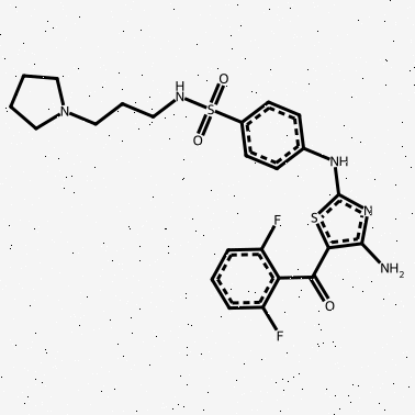 Nc1nc(Nc2ccc(S(=O)(=O)NCCCN3CCCC3)cc2)sc1C(=O)c1c(F)cccc1F